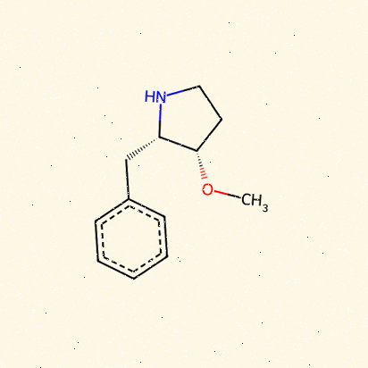 CO[C@H]1CCN[C@H]1Cc1ccccc1